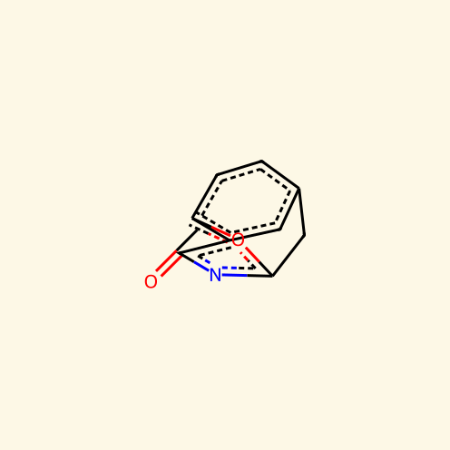 O=c1nc2oc3ccc(cc13)C2